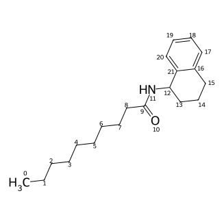 CCCCCCCCCC(=O)NC1CCCc2ccccc21